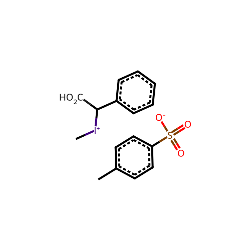 C[I+]C(C(=O)O)c1ccccc1.Cc1ccc(S(=O)(=O)[O-])cc1